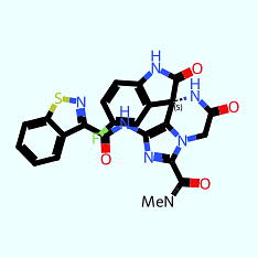 CNC(=O)c1nc(NC(=O)c2nsc3ccccc23)c2n1CC(=O)N[C@]21C(=O)Nc2ccc(F)cc21